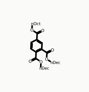 CCCCCCCCCCOC(=O)c1ccc(C(=O)OCCCCCCCC)cc1C(=O)OCCCCCCCCCC